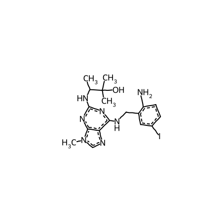 CC(Nc1nc(NCc2cc(I)ccc2N)c2ncn(C)c2n1)C(C)(C)O